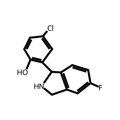 Oc1ccc(Cl)cc1C1NCc2cc(F)ccc21